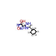 CC(NC(=N)c1nonc1O)c1ccccc1